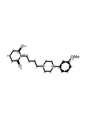 COc1cccc(N2CCN(CCCCN3C(=O)CCCC3=O)CC2)c1